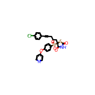 O=C1NC(=O)C(CCCC#Cc2ccc(Cl)cc2)(S(=O)(=O)c2ccc(Oc3ccncc3)cc2)S1